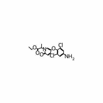 CCOC(=O)C(C)n1cc(Oc2c(Cl)cc(N)cc2Cl)ccc1=O